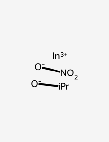 CC(C)[O-].O=[N+]([O-])[O-].[In+3]